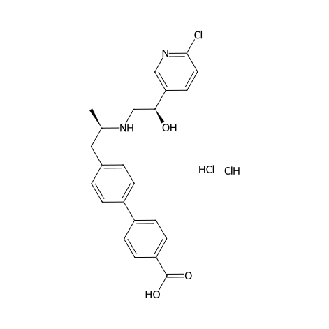 C[C@H](Cc1ccc(-c2ccc(C(=O)O)cc2)cc1)NC[C@H](O)c1ccc(Cl)nc1.Cl.Cl